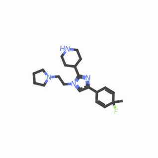 CC1(F)C=CC(c2cn(CCN3CCCC3)c(C3CCNCC3)n2)C=C1